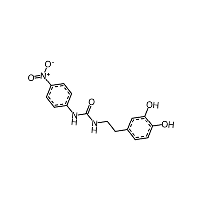 O=C(NCCc1ccc(O)c(O)c1)Nc1ccc([N+](=O)[O-])cc1